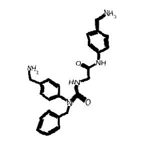 NCc1ccc(NC(=O)CNC(=O)N(Cc2ccccc2)c2ccc(CN)cc2)cc1